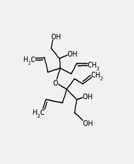 C=CCC(CC=C)(OC(CC=C)(CC=C)C(O)CO)C(O)CO